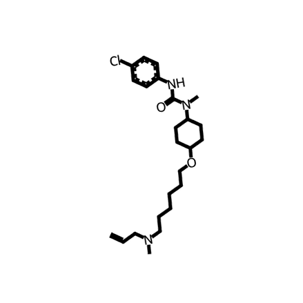 C=CCN(C)CCCCCCOC1CCC(N(C)C(=O)Nc2ccc(Cl)cc2)CC1